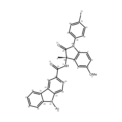 COc1ccc2c(c1)[C@](C)(NC(=O)c1cc3c4ccccc4n(C(C)=O)c3cn1)C(=O)N2c1ccc(F)cc1